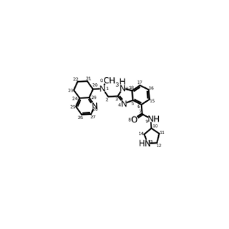 CN(Cc1nc2c(C(=O)NC3CCNC3)cccc2[nH]1)C1CCCc2cccnc21